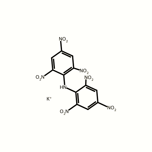 O=[N+]([O-])c1cc([N+](=O)[O-])c(Nc2c([N+](=O)[O-])cc([N+](=O)[O-])cc2[N+](=O)[O-])c([N+](=O)[O-])c1.[K+]